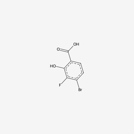 O=C(O)c1ccc(Br)c(F)c1O